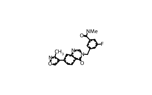 CNC(=O)c1cc(F)cc(Cn2cnc3cc(-c4conc4C)ccc3c2=O)c1